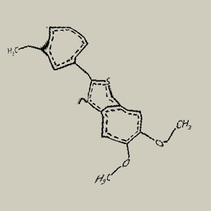 COc1cc2nc(-c3cc[c]c(C)c3)sc2cc1OC